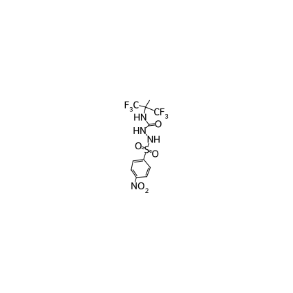 CC(NC(=O)NNS(=O)(=O)c1ccc([N+](=O)[O-])cc1)(C(F)(F)F)C(F)(F)F